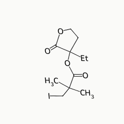 CCC1(OC(=O)C(C)(C)CI)CCOC1=O